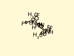 COC[C@H](c1cnn2cc([C@@H](NC(=O)OCC34CC(F)(C3)C4)C3CCC(C)(F)CC3)nc2c1)N1C[C@@H](C(F)(F)F)NC1=O